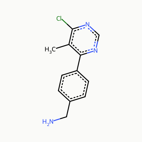 Cc1c(Cl)ncnc1-c1ccc(CN)cc1